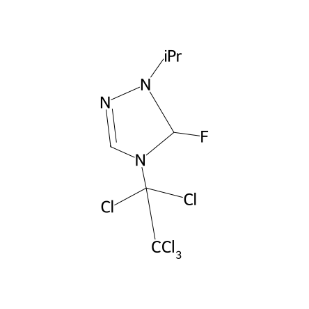 CC(C)N1N=CN(C(Cl)(Cl)C(Cl)(Cl)Cl)C1F